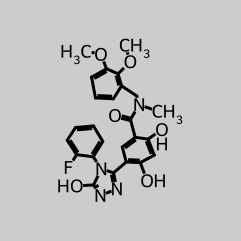 COc1cccc(CN(C)C(=O)c2cc(-c3nnc(O)n3-c3ccccc3F)c(O)cc2O)c1OC